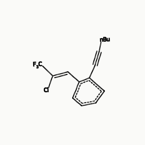 CCCCC#Cc1ccccc1C=C(Cl)C(F)(F)F